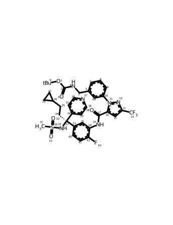 CC(C)(C)OC(=O)NCc1cccc(-n2nc(C(F)(F)F)cc2C(=O)Nc2cc([C@@](CCC3CC3)(NS(C)(=O)=O)c3ccncc3)ccc2F)c1